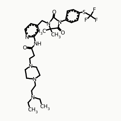 CCN(CC)CCN1CCN(CCC(=O)Nc2cc(CN3C(=O)N(c4ccc(SC(F)(F)F)cc4)C(=O)C3(C)C)ccn2)CC1